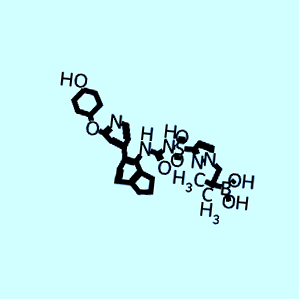 CC(C)(Cn1ccc(S(=O)(=O)NC(=O)Nc2c(-c3ccnc(OC4CCC(O)CC4)c3)ccc3c2CCC3)n1)B(O)O